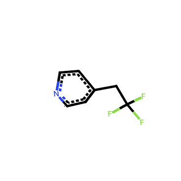 FC(F)(F)Cc1c[c]ncc1